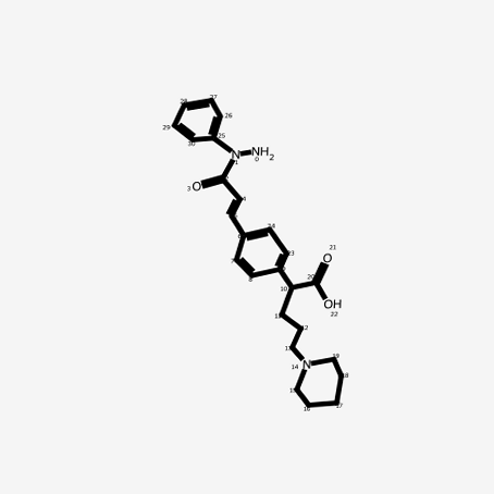 NN(C(=O)C=Cc1ccc(C(CCCN2CCCCC2)C(=O)O)cc1)c1ccccc1